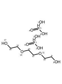 O=[PH](O)O.O=[PH](O)O.OCCOCCOCCO